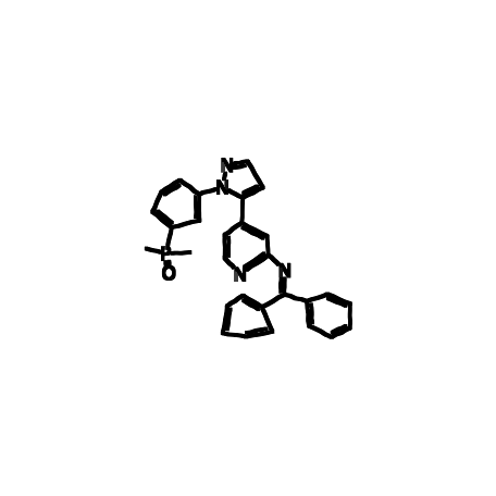 CP(C)(=O)c1cccc(-n2nccc2-c2ccnc(N=C(c3ccccc3)c3ccccc3)c2)c1